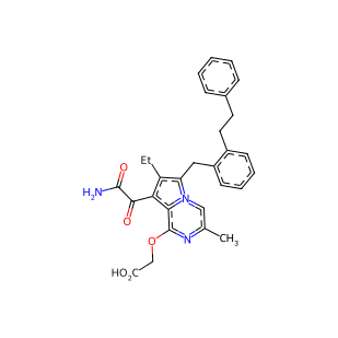 CCc1c(C(=O)C(N)=O)c2c(OCC(=O)O)nc(C)cn2c1Cc1ccccc1CCc1ccccc1